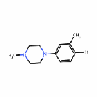 CCc1ccc(N2CCN(C)CC2)cc1C